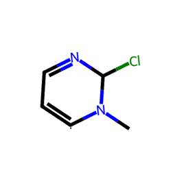 CN1[C]=CC=NC1Cl